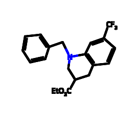 CCOC(=O)C1Cc2ccc(C(F)(F)F)cc2N(Cc2ccccc2)C1